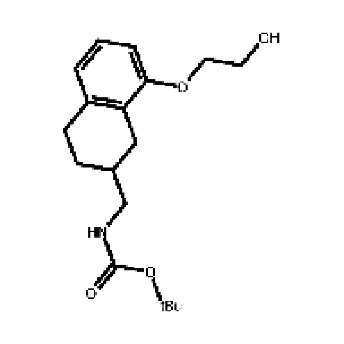 CC(C)(C)OC(=O)NCC1CCc2cccc(OCCO)c2C1